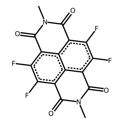 CN1C(=O)c2c(F)c(F)c3c4c(c(F)c(F)c(c24)C1=O)C(=O)N(C)C3=O